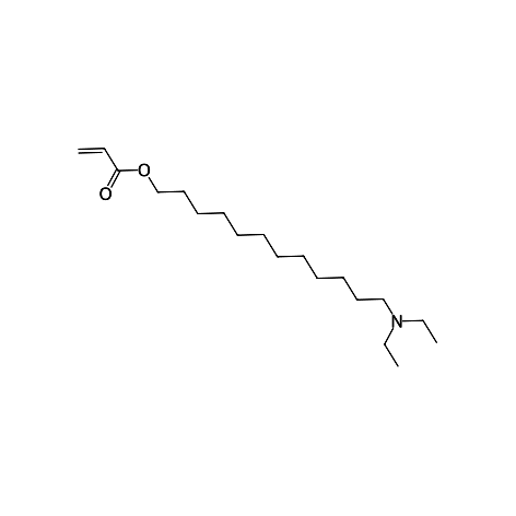 C=CC(=O)OCCCCCCCCCCCCN(CC)CC